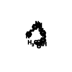 CCS(=O)(=O)Nc1ccc(CN2CCC3(CC2)CN(c2ncnc4ccc(CCc5ccncc5)cc24)C3)cc1